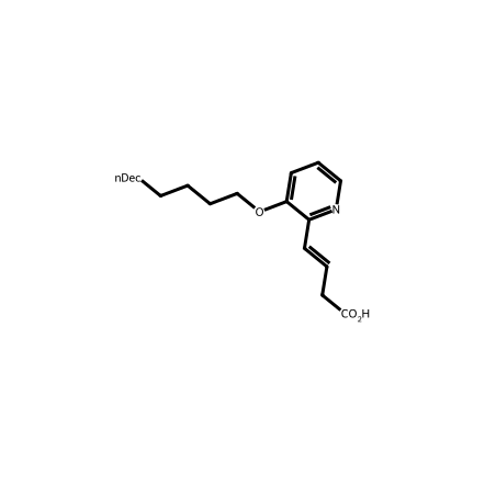 CCCCCCCCCCCCCCOc1cccnc1C=CCC(=O)O